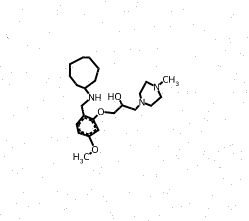 COc1ccc(CNC2CCCCCCC2)c(OCC(O)CN2CCN(C)CC2)c1